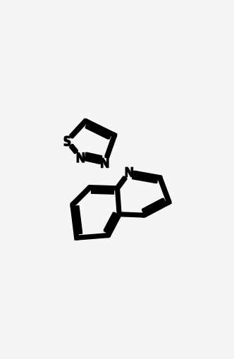 c1ccc2ncccc2c1.c1csnn1